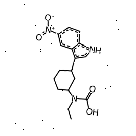 CCN(C(=O)O)C1CCCC(c2c[nH]c3ccc([N+](=O)[O-])cc23)C1